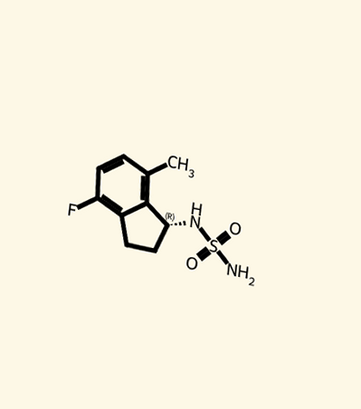 Cc1ccc(F)c2c1[C@H](NS(N)(=O)=O)CC2